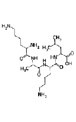 CC(C)CC(NC(=O)C(CCCCN)NC(=O)C(C)NC(=O)C(N)CCCCN)C(=O)O